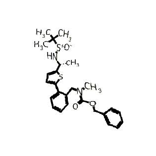 C[C@@H](N[S+]([O-])C(C)(C)C)c1ccc(-c2ccccc2CN(C)C(=O)OCc2ccccc2)s1